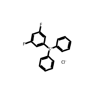 Fc1cc(F)cc([S+](c2ccccc2)c2ccccc2)c1.[Cl-]